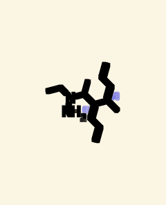 C=C/C=C(C)\C(=C/C=C)C(C)N(N)CC